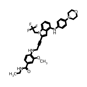 CCNC(=O)c1ccc(NCC#Cc2cc3c(Nc4ccc(N5CCOCC5)cc4)cccc3n2CC(F)(F)F)c(OC)c1